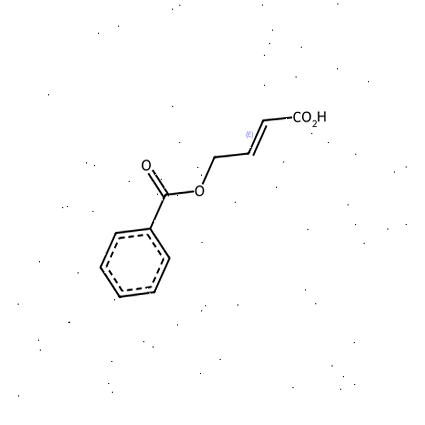 O=C(O)/C=C/COC(=O)c1ccccc1